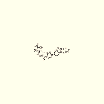 O=C(c1ccc(-c2ccc3c(c2)CNN3CC2CCC2)cc1)N1CCN(C(=O)C2(O)CC2)CC1